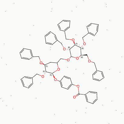 O=C(Oc1ccc(O[C@@H]2OC(COC3O[C@H](COCc4ccccc4)[C@@H](OCc4ccccc4)[C@H](OCc4ccccc4)[C@H]3OCc3ccccc3)C[C@H](OCc3ccccc3)[C@H]2OCc2ccccc2)cc1)c1ccccc1